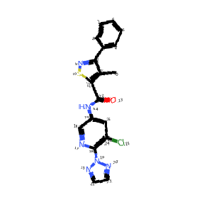 Cc1c(-c2ccccc2)nsc1C(=O)Nc1cnc(-n2nccn2)c(Cl)c1